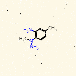 Cc1ccc(N(C)N)c(N)c1